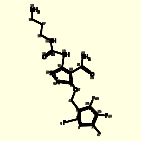 Cc1cc(F)c(COc2nsc(NC(=O)NCCCN)c2C(N)=O)c(F)c1F